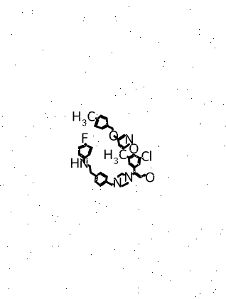 Cc1ccc(COc2ccc(Oc3c(C)cc(/C(=C\C=O)N4CCN(Cc5ccc(CCNc6ccc(F)cc6)cc5)CC4)cc3Cl)nc2)cc1